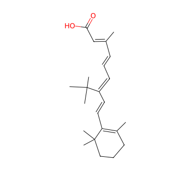 CC(C=CC=C(C=CC1=C(C)CCCC1(C)C)C(C)(C)C)=CC(=O)O